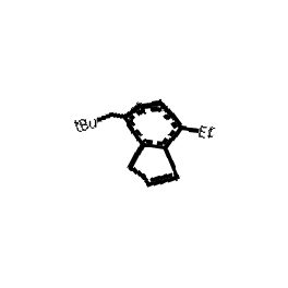 CCc1ccc(C(C)(C)C)c2c1C=CC2